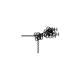 CCCCCCCCCCCCCCCC(=O)OCC(COC(C)=O)(COC(=O)CCCCCCCCCCCCCCC)C(=O)NCCCCCCOC(=O)CC(C(=O)O)N(CCN(CC(=O)O)CC(=O)O)CCN(CC(=O)O)CC(=O)O